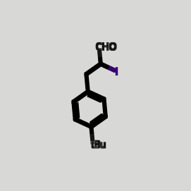 CC(C)(C)c1ccc(CC(I)C=O)cc1